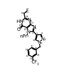 CCCn1c(-c2cnn(Cc3cccc(C(F)(F)F)c3)c2)nc2nc(CF)[nH]c(=O)c21